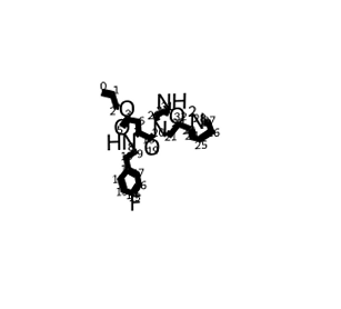 C=CCOC(=O)CC(NCCc1ccc(F)cc1)C(=O)N(CCc1ccccn1)CC(N)=O